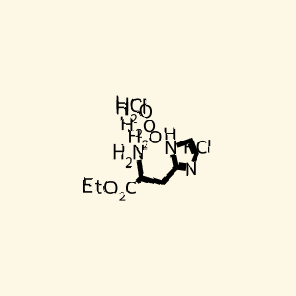 CCOC(=O)C(N)Cc1ncc[nH]1.Cl.Cl.O.O.O